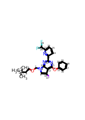 C[Si](C)(C)CCOCn1cc(I)c2c(Oc3ccccc3)nc(-c3cccc(C(F)F)n3)nc21